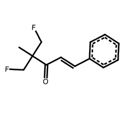 CC(CF)(CF)C(=O)C=Cc1ccccc1